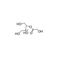 O=C(CO)OC(CO)[C@@H](O)CO